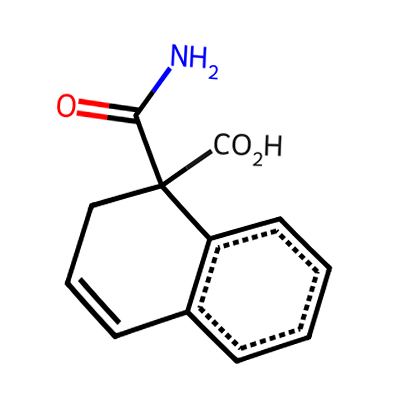 NC(=O)C1(C(=O)O)CC=Cc2ccccc21